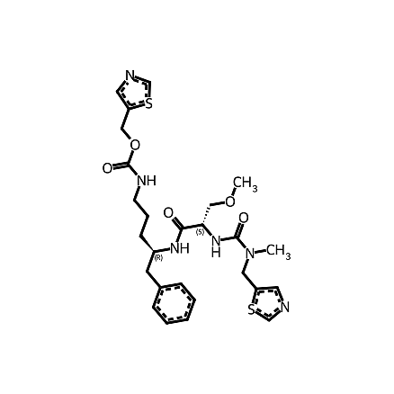 COC[C@H](NC(=O)N(C)Cc1cncs1)C(=O)N[C@H](CCCNC(=O)OCc1cncs1)Cc1ccccc1